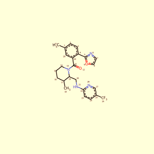 Cc1ccc(-c2ncco2)c(C(=O)N2CCCC(C)C2CNc2ccc(C(F)(F)F)cn2)c1